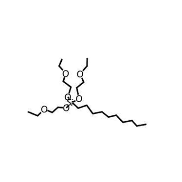 CCCCCCCCCC[Si](OCCOCC)(OCCOCC)OCCOCC